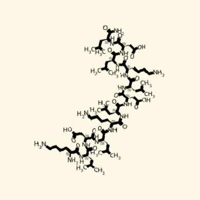 CC(C)C[C@H](NC(=O)[C@H](CC(=O)O)NC(=O)[C@H](CC(C)C)NC(=O)[C@H](CCCCN)NC(=O)[C@H](CC(C)C)NC(=O)[C@H](CC(=O)O)NC(=O)[C@H](CC(C)C)NC(=O)[C@H](CCCCN)NC(=O)[C@H](CC(C)C)NC(=O)[C@H](CC(=O)O)NC(=O)[C@H](CC(C)C)NC(=O)[C@@H](N)CCCCN)C(N)=O